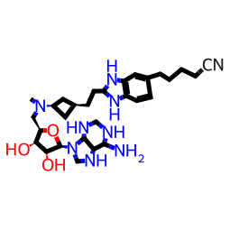 CN(C[C@H]1O[C@@H](N2CNC3C(N)NCNC32)[C@H](O)[C@@H]1O)[C@H]1C[C@H](CCC2Nc3ccc(CCCCC#N)cc3N2)C1